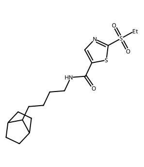 CCS(=O)(=O)c1ncc(C(=O)NCCCCC2C3CCC2CC3)s1